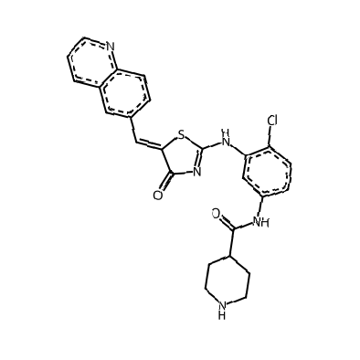 O=C1N=C(Nc2cc(NC(=O)C3CCNCC3)ccc2Cl)S/C1=C\c1ccc2ncccc2c1